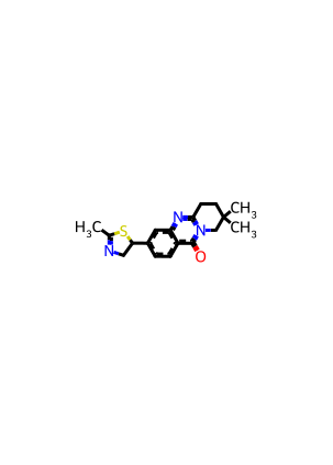 CC1=NCC(c2ccc3c(=O)n4c(nc3c2)CCC(C)(C)C4)S1